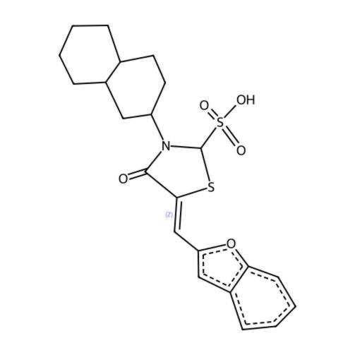 O=C1/C(=C/c2cc3ccccc3o2)SC(S(=O)(=O)O)N1C1CCC2CCCCC2C1